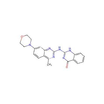 Cc1nc(Nc2nc(=O)c3ccccc3[nH]2)nc2cc(N3CCOCC3)ccc12